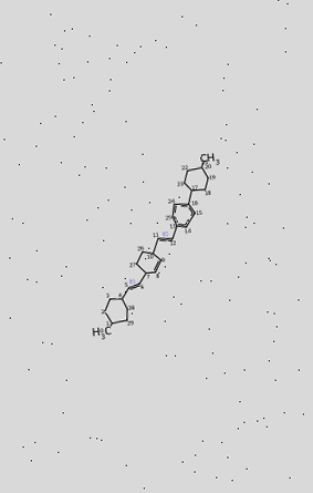 CC1CCC(/C=C/C2C=CC(/C=C/c3ccc(C4CCC(C)CC4)cc3)CC2)CC1